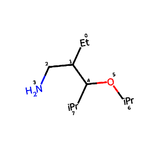 CCC(CN)C(OC(C)C)C(C)C